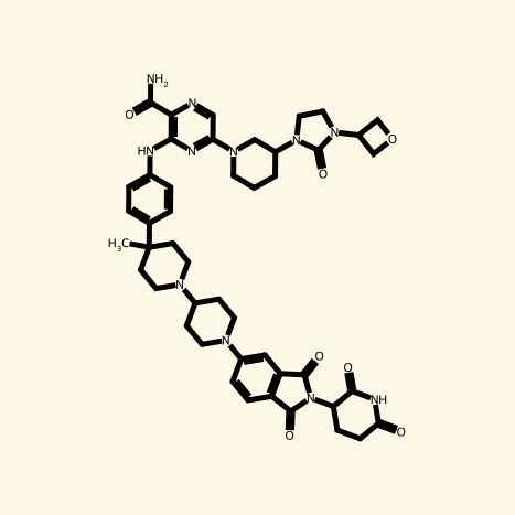 CC1(c2ccc(Nc3nc(N4CCCC(N5CCN(C6COC6)C5=O)C4)cnc3C(N)=O)cc2)CCN(C2CCN(c3ccc4c(c3)C(=O)N(C3CCC(=O)NC3=O)C4=O)CC2)CC1